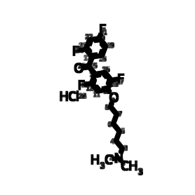 CN(C)CCCCCCOc1cc(F)c(C(=O)c2ccc(F)cc2F)cc1F.Cl